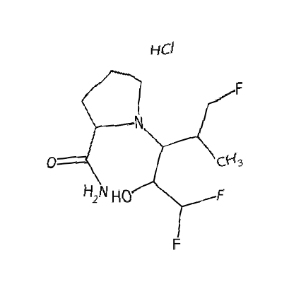 CC(CF)C(C(O)C(F)F)N1CCCC1C(N)=O.Cl